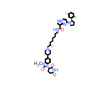 Cn1c(=O)n(C2CCC(=O)NC2=O)c2ccc(C3CCN(CC(F)CCCCCCNC(=O)c4cnn5ccc(N6CCC[C@@H]6c6cc(F)ccc6F)nc45)CC3)cc21